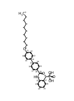 CCCCCCCCCCOc1ccc(-c2ccc(C(=O)Nc3ccccc3CP(=O)(O)O)cc2)cc1